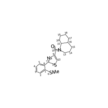 CSc1ccccc1-c1nc(C(=O)N2CCCC3CCCCC32)cs1